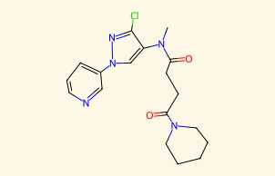 CN(C(=O)CCC(=O)N1CCCCC1)c1cn(-c2cccnc2)nc1Cl